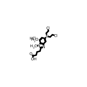 Cl.Cn1c(CCCC(=O)O)nc2cc(N(CCCl)CCCl)ccc21.O